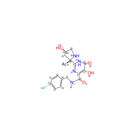 CC(=O)[C@@]1(c2nc(C(=O)N(C)Cc3ccc(F)cc3)c(O)c(=O)[nH]2)C[C@@H](O)CN1